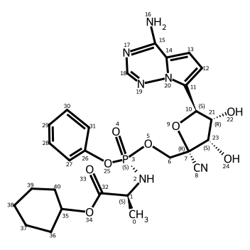 C[C@H](N[P@](=O)(OC[C@@]1(C#N)O[C@@H](c2ccc3c(N)ncnn23)[C@H](O)[C@@H]1O)Oc1ccccc1)C(=O)OC1CCCCC1